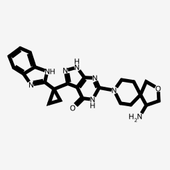 NC1COCC12CCN(c1nc3[nH]nc(C4(c5nc6ccccc6[nH]5)CC4)c3c(=O)[nH]1)CC2